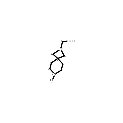 CCN1CCC2(CC1)CN(CC(=O)O)C2